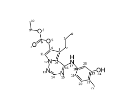 CCCc1c(OC(=O)OCC)cn2ncnc(Nc3ccc(C)c(O)c3)c12